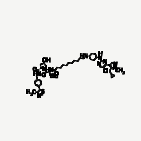 Cc1ncsc1-c1ccc(CNC(=O)[C@@H]2C[C@@H](O)CN2C(=O)[C@@H](NC(=O)CCCCCCCCCCN[C@H]2CC[C@H](Nc3ncc(Cl)c(-c4cnn(C)c4CC4CC4)n3)CC2)C(C)(C)C)cc1